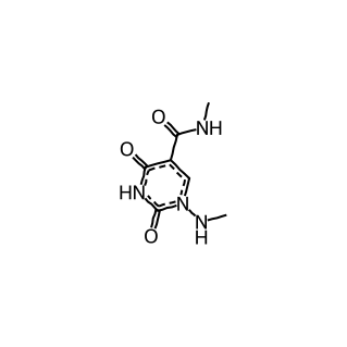 CNC(=O)c1cn(NC)c(=O)[nH]c1=O